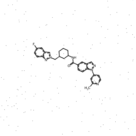 Cc1cc(-n2ncc3cc(C(=O)NC4CCCC(Cn5cc6cc(F)ccc6n5)C4)ccc32)ccn1